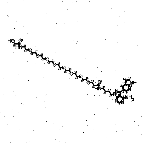 Nc1ncnc2c1c(-c1cnc3[nH]ccc3c1)nn2CCCCNC(=O)CCOCCOCCOCCOCCOCCOCCOCCOCCNC(=O)CO